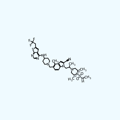 CNS(=O)(=O)N1[C@H](C)CN(C(C)Cn2c(C#N)cc3c(C)c(CN4CCC(Nc5ncnc6sc(CC(F)(F)F)cc56)CC4)ccc32)C[C@H]1C